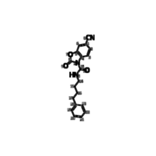 N#Cc1ccc2c(c1)oc(=O)n2C(=O)NCCCCc1ccccc1